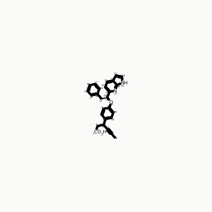 CC#CC(CC(=O)O)c1ccc(O[C@@H](Cc2ccccc2)c2ccc3cc[nH]c3n2)cc1